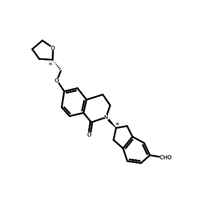 O=Cc1ccc2c(c1)C[C@H](N1CCc3cc(OC[C@@H]4CCCO4)ccc3C1=O)C2